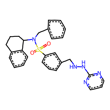 O=S(=O)(c1cccc(CNNc2ncccn2)c1)N(Cc1ccccc1)C1CCCc2ccccc21